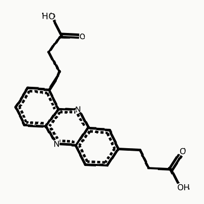 O=C(O)CCc1ccc2nc3cccc(CCC(=O)O)c3nc2c1